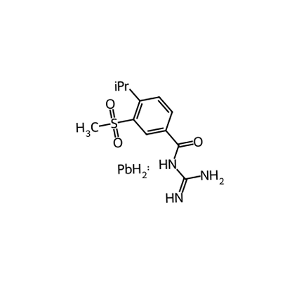 CC(C)c1ccc(C(=O)NC(=N)N)cc1S(C)(=O)=O.[PbH2]